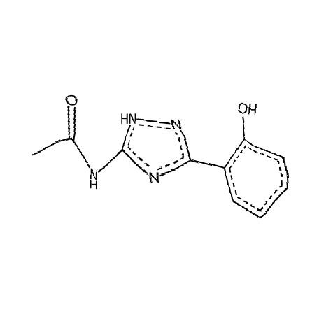 CC(=O)Nc1nc(-c2ccccc2O)n[nH]1